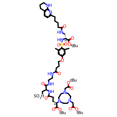 Cc1cc(OCCCC(=O)NCCNC(=O)C(CS(=O)(=O)O)NC(=O)CC[C@H](C(=O)OC(C)(C)C)N2CCN(CC(=O)OC(C)(C)C)CCN(CC(=O)OC(C)(C)C)CC2)cc(C)c1S(=O)(=O)N[C@H](CNC(=O)CCCCc1ccc2c(n1)NCCC2)C(=O)OC(C)(C)C